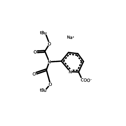 CC(C)(C)OC(=O)N(C(=O)OC(C)(C)C)c1cccc(C(=O)[O-])n1.[Na+]